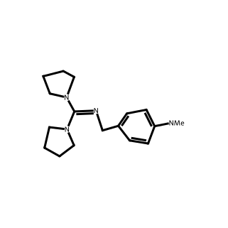 CNc1ccc(CN=C(N2CCCC2)N2CCCC2)cc1